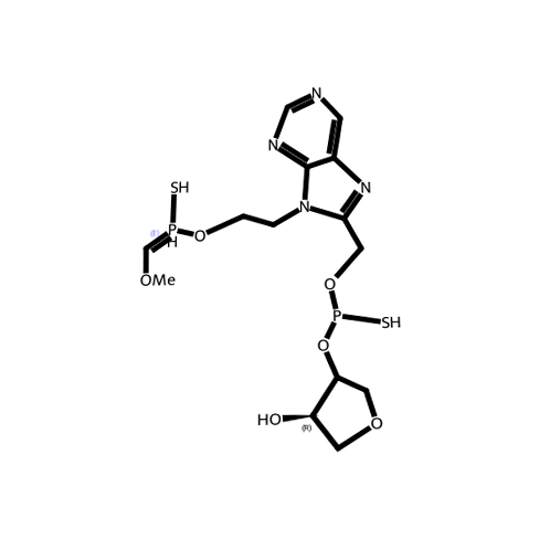 CO/C=[PH](/S)OCCn1c(COP(S)OC2COC[C@H]2O)nc2cncnc21